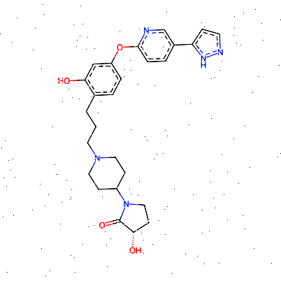 O=C1[C@@H](O)CCN1C1CCN(CCCc2ccc(Oc3ccc(-c4ccn[nH]4)cn3)cc2O)CC1